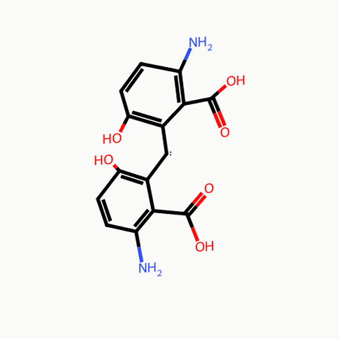 Nc1ccc(O)c([C]c2c(O)ccc(N)c2C(=O)O)c1C(=O)O